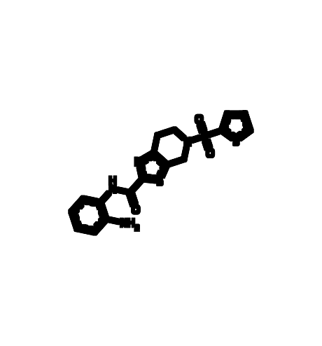 Nc1ccccc1NC(=O)c1nc2c(s1)CN(S(=O)(=O)c1cccs1)CC2